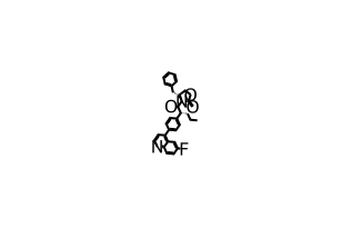 CCC[C@@H](C(=O)N1C(=O)OC[C@H]1Cc1ccccc1)c1ccc(-c2ccnc3ccc(F)cc23)cc1